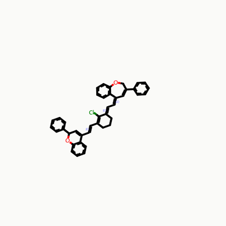 ClC1=C(/C=C/C2=CC(c3ccccc3)Oc3ccccc32)CCC/C1=C\C=C1\C=C(c2ccccc2)COc2ccccc21